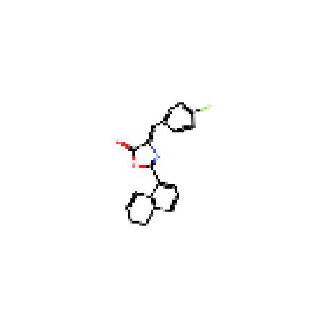 O=C1OC(c2cccc3c2C=CCC3)=N/C1=C\c1ccc(F)cc1